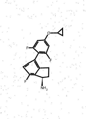 N[C@@H]1CCc2c(-c3c(F)cc(OC4CC4)cc3F)ccc(F)c21